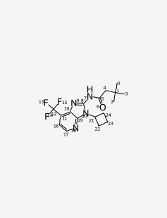 CC(C)(C)CC(=O)Nc1nc2c(C(F)(F)F)ccnc2n1C1CCC1